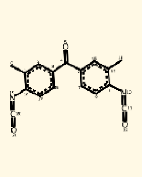 Cc1cc(C(=O)c2ccc(N=C=O)c(C)c2)ccc1N=C=O